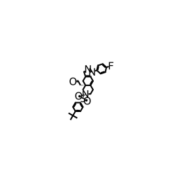 CC(C)(C)c1ccc(S(=O)(=O)N2CCC3=Cc4c(cnn4-c4ccc(F)cc4)C[C@]3(CC=O)C2)cc1